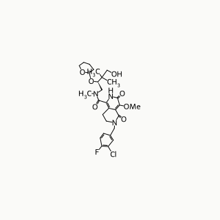 COc1c2c(c(C(=O)N(C)C[C@@H](OC3CCCCO3)C(C)(C)CO)[nH]c1=O)CCN(Cc1ccc(F)c(Cl)c1)C2=O